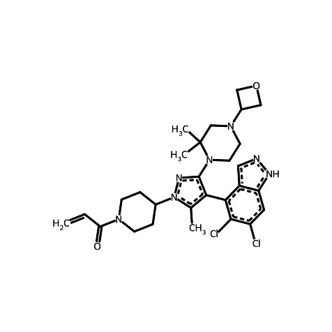 C=CC(=O)N1CCC(n2nc(N3CCN(C4COC4)CC3(C)C)c(-c3c(Cl)c(Cl)cc4[nH]ncc34)c2C)CC1